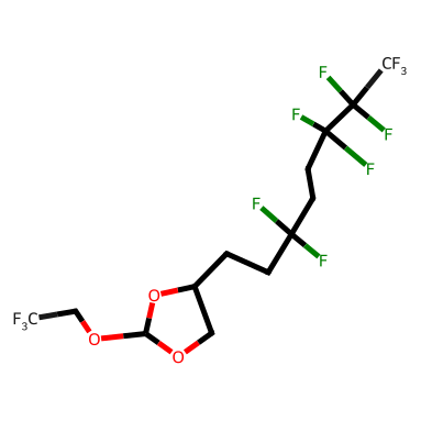 FC(F)(F)COC1OCC(CCC(F)(F)CCC(F)(F)C(F)(F)C(F)(F)F)O1